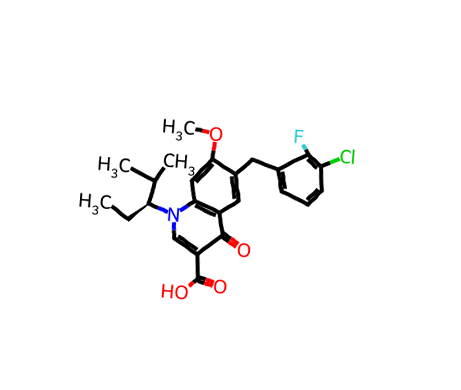 CC[C@@H](C(C)C)n1cc(C(=O)O)c(=O)c2cc(Cc3cccc(Cl)c3F)c(OC)cc21